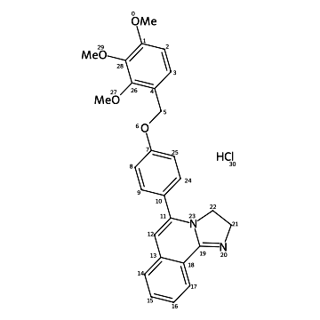 COc1ccc(COc2ccc(C3=Cc4ccccc4C4=NCCN34)cc2)c(OC)c1OC.Cl